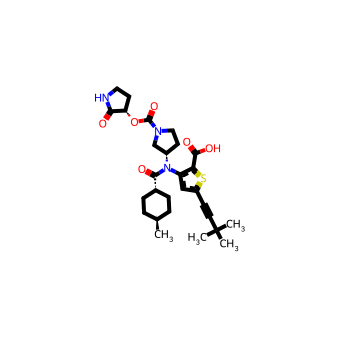 CC(C)(C)C#Cc1cc(N(C(=O)[C@H]2CC[C@H](C)CC2)[C@H]2CCN(C(=O)O[C@H]3CCNC3=O)C2)c(C(=O)O)s1